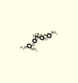 Nc1ccc(Oc2ccc(C(F)(F)C(F)(c3ccc(Oc4ccc(N)cc4N)cc3)C(F)(F)F)cc2)c(N)c1